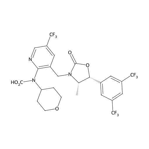 C[C@H]1[C@@H](c2cc(C(F)(F)F)cc(C(F)(F)F)c2)OC(=O)N1Cc1cc(C(F)(F)F)cnc1N(C(=O)O)C1CCOCC1